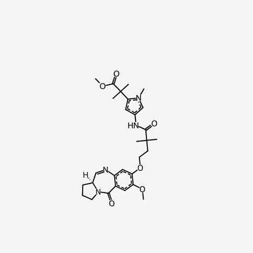 COC(=O)C(C)(C)c1cc(NC(=O)C(C)(C)CCOc2cc3c(cc2OC)C(=O)N2CCC[C@H]2C=N3)cn1C